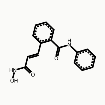 O=C(/C=C/c1ccccc1C(=O)Nc1ccccc1)NO